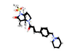 CCC[C@H]1C(=O)N(S(C)(=O)=O)[C@H]2CCN(C(=O)C=Cc3ccc(CN4CCCCC4)cc3)[C@H]12